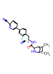 CC1C2CC(NC2C(=O)N[C@H](C#N)Cc2ccc(-c3ccc(C#N)nc3)cc2F)[C@H]1C